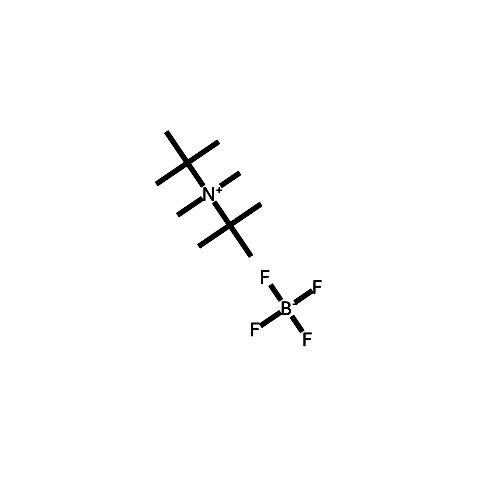 CC(C)(C)[N+](C)(C)C(C)(C)C.F[B-](F)(F)F